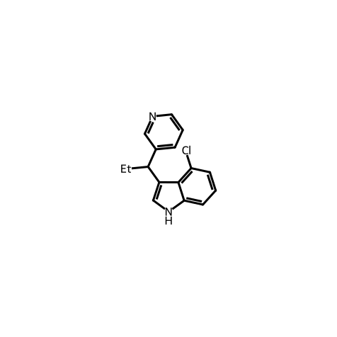 [CH2]CC(c1cccnc1)c1c[nH]c2cccc(Cl)c12